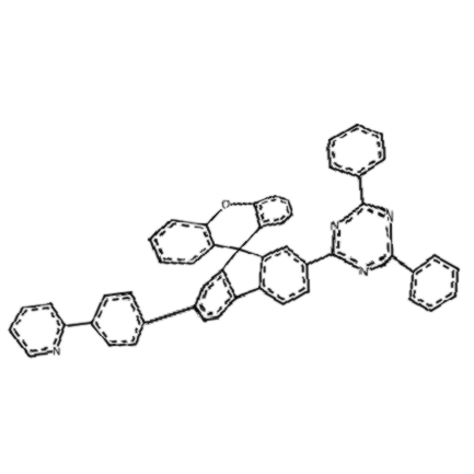 c1ccc(-c2nc(-c3ccccc3)nc(-c3ccc4c(c3)C3(c5ccccc5Oc5ccccc53)c3cc(-c5ccc(-c6ccccn6)cc5)ccc3-4)n2)cc1